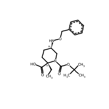 CC[C@@]1(C(=O)O)CC[C@@H](NOCc2ccccc2)CN1C(=O)OC(C)(C)C